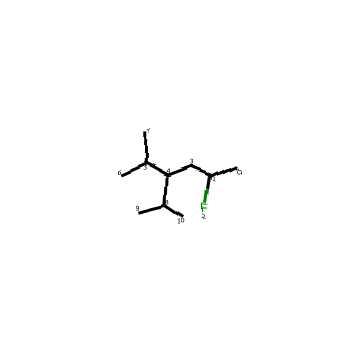 CC(F)CC(C(C)C)C(C)C